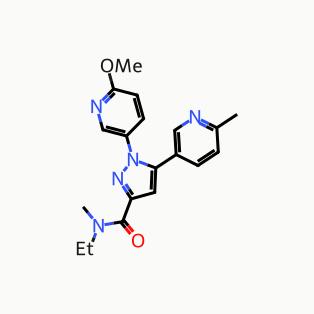 CCN(C)C(=O)c1cc(-c2ccc(C)nc2)n(-c2ccc(OC)nc2)n1